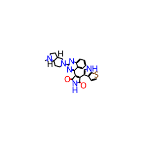 CN1CC[C@@H]2CN(c3nc(C4=C(c5c[nH]c6sccc56)C(=O)NC4=O)c4ccccc4n3)CC[C@@H]21